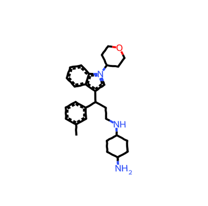 Cc1cccc(C(CCNC2CCC(N)CC2)c2cn(C3CCOCC3)c3ccccc23)c1